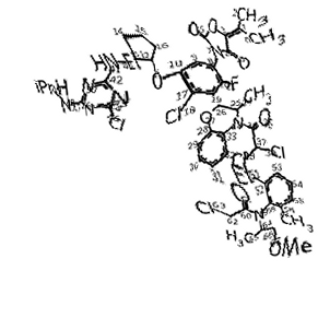 CC(C)=C1OC(=O)N(c2cc(OC3CCCC3)c(Cl)cc2F)C1=O.CC1COc2ccccc2N1C(=O)C(Cl)Cl.CCNc1nc(Cl)nc(NC(C)C)n1.CCc1cccc(C)c1N(C(=O)CCl)C(C)COC